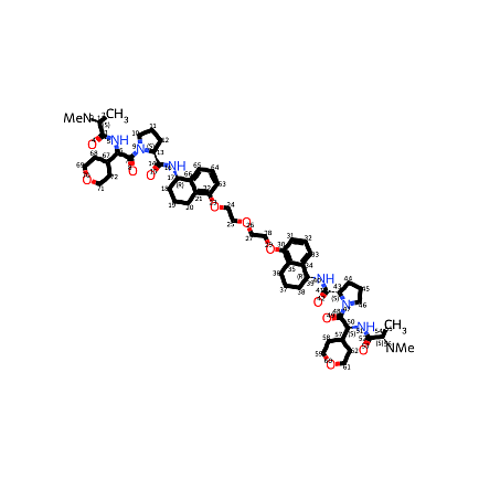 CN[C@@H](C)C(=O)NC(C(=O)N1CCC[C@H]1C(=O)N[C@@H]1CCCc2c(OCCOCCOc3cccc4c3CCC[C@H]4NC(=O)[C@@H]3CCCN3C(=O)[C@@H](NC(=O)[C@H](C)NC)C3CCOCC3)cccc21)C1CCOCC1